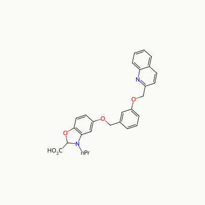 CCCN1c2cc(OCc3cccc(OCc4ccc5ccccc5n4)c3)ccc2OC1C(=O)O